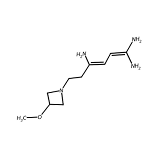 COC1CN(CC/C(N)=C/C=C(N)N)C1